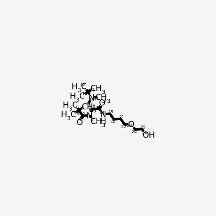 CN(C(=O)C(C)(C)C)[C@H](CN(C)C(C)(C)C)C(=O)NCCCCOCCO